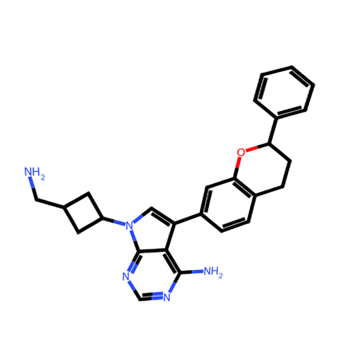 NCC1CC(n2cc(-c3ccc4c(c3)OC(c3ccccc3)CC4)c3c(N)ncnc32)C1